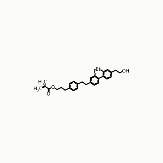 C=C(C)C(=O)OCCCc1ccc(CCc2ccc(-c3ccc(CCO)cc3CC)c(F)c2)cc1